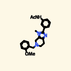 COc1ccccc1CN1CCc2nc(-c3cccc(NC(C)=O)c3)n(C)c2C1